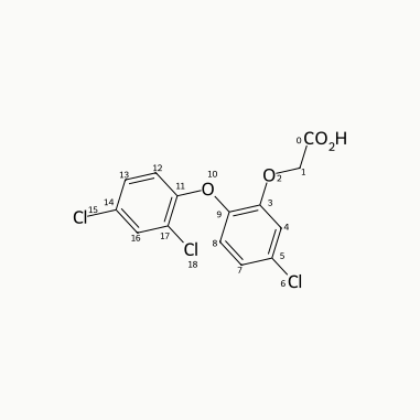 O=C(O)COc1cc(Cl)ccc1Oc1ccc(Cl)cc1Cl